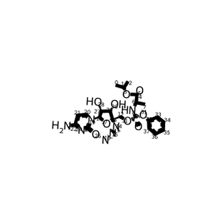 CC(C)OC(=O)C(C)NP(=O)(OC[C@@]1(N=[N+]=[N-])O[C@@H](n2ccc(N)nc2=O)[C@@H](O)[C@@H]1O)Oc1ccccc1